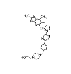 Cc1nc2nc(C)c(C[C@@H]3CCN(c4cnc(-c5ccc(CN6CCN(CCO)CC6)cc5)cn4)C3)c(C)n2n1